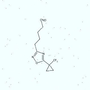 O=CCCCCc1noc(C2(C(F)(F)F)CC2)n1